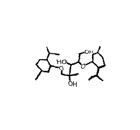 CC1CCC(C(C)C)C(OCC(C)(O)C(O)C(CO)OC2CC(C)CCC2C(C)C)C1